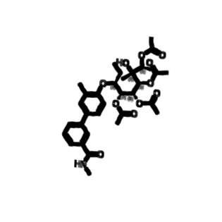 CC[C@H](Oc1ccc(-c2cccc(C(=O)NC)c2)cc1C)[C@@H](OC(C)=O)[C@@H](OC(C)=O)[C@H](OC(C)=O)[C@](C)(O)[C@H](C)OC(C)=O